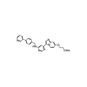 COCCOc1ccn2c(-c3cc(NCc4ccc(-c5cccnc5)cc4)ncn3)cnc2c1